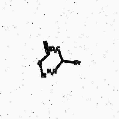 C=COCC.CC(C)C(N)C(=O)O